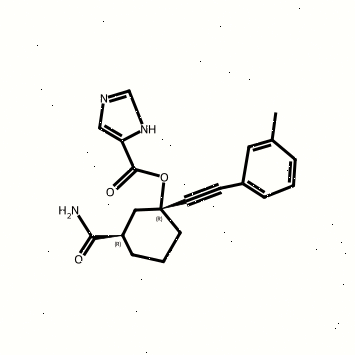 Cc1cccc(C#C[C@@]2(OC(=O)c3cnc[nH]3)CCC[C@@H](C(N)=O)C2)c1